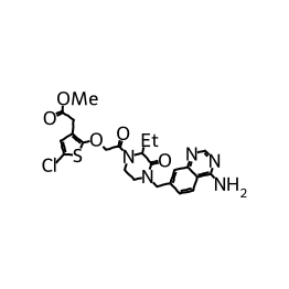 CCC1C(=O)N(Cc2ccc3c(N)ncnc3c2)CCN1C(=O)COc1sc(Cl)cc1CC(=O)OC